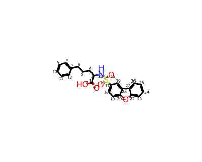 O=C(O)C(CCCc1ccccc1)NS(=O)(=O)c1ccc2oc3ccccc3c2c1